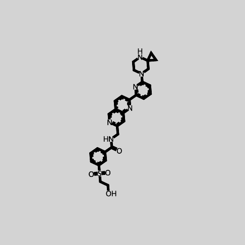 O=C(NCc1cc2nc(-c3cccc(N4CCNC5(CC5)C4)n3)ccc2cn1)c1cccc(S(=O)(=O)CCO)c1